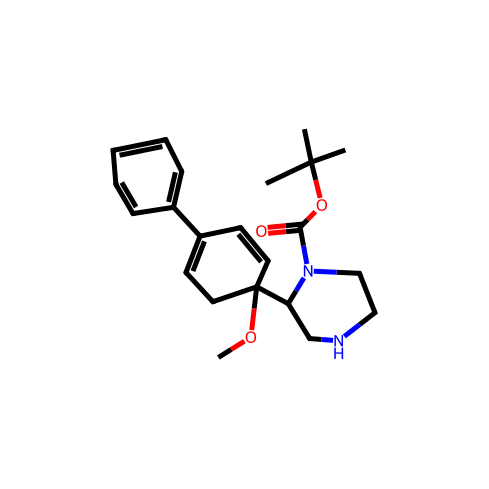 COC1(C2CNCCN2C(=O)OC(C)(C)C)C=CC(c2ccccc2)=CC1